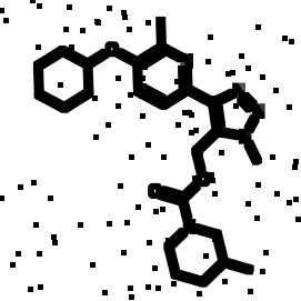 Cc1nc(-c2nnn(C)c2COC(=O)N2CCCC(C)C2)ccc1OC1CCCCC1